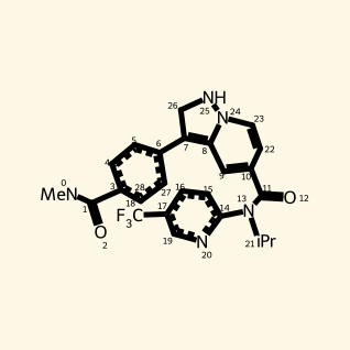 CNC(=O)c1ccc(C2=C3C=C(C(=O)N(c4ccc(C(F)(F)F)cn4)C(C)C)C=CN3NC2)cc1